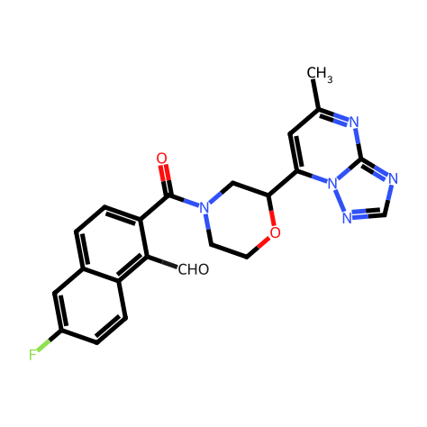 Cc1cc(C2CN(C(=O)c3ccc4cc(F)ccc4c3C=O)CCO2)n2ncnc2n1